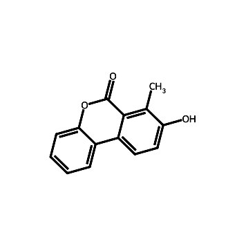 Cc1c(O)ccc2c1c(=O)oc1ccccc12